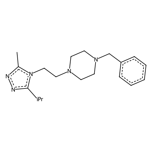 Cc1nnc(C(C)C)n1CCN1CCN(Cc2ccccc2)CC1